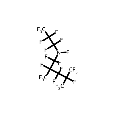 FN(C(F)(F)C(F)(F)C(F)(F)F)C(F)(F)C(F)(C(F)(F)F)C(F)(F)C(F)(C(F)(F)F)C(F)(F)F